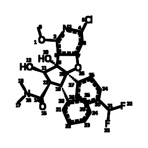 COc1nc(Cl)cc2c1[C@]1(O)[C@H](O)[C@H](C(=O)N(C)C)[C@@H](c3ccccc3)[C@]1(c1ccc(C(F)F)cc1)O2